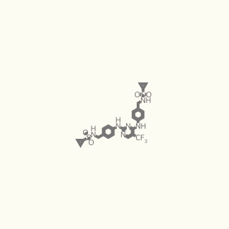 O=S(=O)(NCc1ccc(Nc2ncc(C(F)(F)F)c(Nc3ccc(CNS(=O)(=O)C4CC4)cc3)n2)cc1)C1CC1